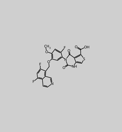 COc1cc(F)c(-n2c(=O)[nH]c3csc(C(=O)O)c3c2=O)cc1OCc1c(F)cc(F)c2ccncc12